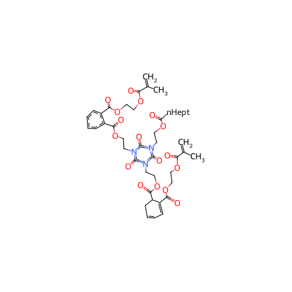 C=C(C)C(=O)OCCOC(=O)C1=CC=CCC1C(=O)OCCn1c(=O)n(CCOC(=O)CCCCCCC)c(=O)n(CCOC(=O)c2ccccc2C(=O)OCCOC(=O)C(=C)C)c1=O